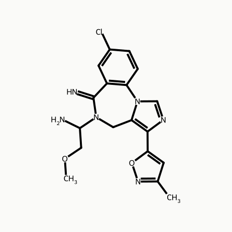 COCC(N)N1Cc2c(-c3cc(C)no3)ncn2-c2ccc(Cl)cc2C1=N